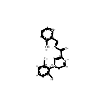 O=C(N=Cc1ncccc1O)C1=CN(c2c(F)cccc2F)CC=N1